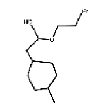 CC(C)CCOC(O)CC1CCC(C)CC1